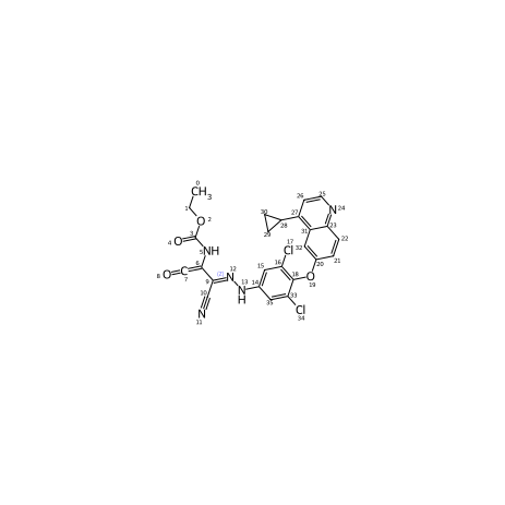 CCOC(=O)NC(=C=O)/C(C#N)=N/Nc1cc(Cl)c(Oc2ccc3nccc(C4CC4)c3c2)c(Cl)c1